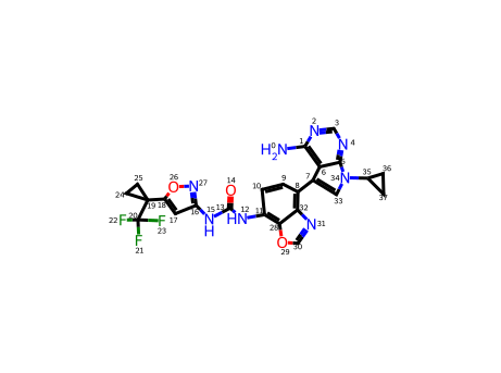 Nc1ncnc2c1c(-c1ccc(NC(=O)Nc3cc(C4(C(F)(F)F)CC4)on3)c3ocnc13)cn2C1CC1